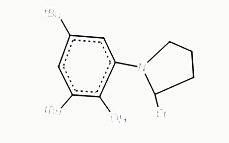 CCC1CCCN1c1cc(C(C)(C)C)cc(C(C)(C)C)c1O